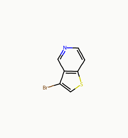 Brc1csc2ccncc12